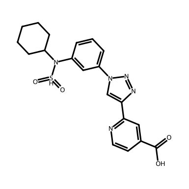 O=C(O)c1ccnc(-c2cn(-c3cccc(N(C4CCCCC4)[SH](=O)=O)c3)nn2)c1